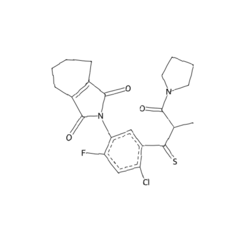 CC(C(=O)N1CCCC1)C(=S)c1cc(N2C(=O)C3=C(CCCC3)C2=O)c(F)cc1Cl